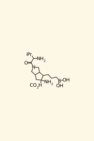 CC(C)C(N)C(=O)N1CC2CC(N)(C(=O)O)C(CCCB(O)O)C2C1